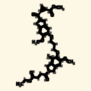 CCOC(=O)CCC(=O)N1Cc2cc(OC)c(OCCCOc3cc4cc(C(=O)[C@@H]5C[C@H]5C(=O)OC)sc4cc3OC)c(F)c2C1